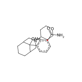 COC1(c2cccc(C(N)=O)c2)C2CCCC1CN(C1CCOCC1)C2